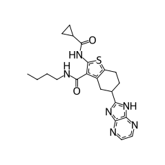 CCCCNC(=O)c1c(NC(=O)C2CC2)sc2c1CC(c1nc3nccnc3[nH]1)CC2